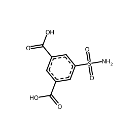 NS(=O)(=O)c1cc(C(=O)O)cc(C(=O)O)c1